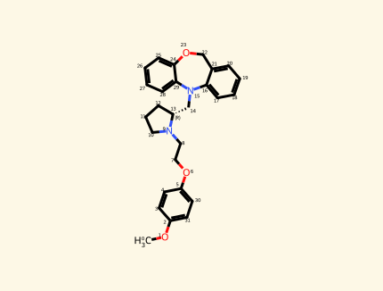 COc1ccc(OCCN2CCC[C@@H]2CN2c3ccccc3COc3ccccc32)cc1